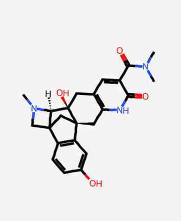 CN(C)C(=O)c1cc2c([nH]c1=O)C[C@@]13CC4(CN(C)[C@H]4[C@]1(O)C2)c1ccc(O)cc13